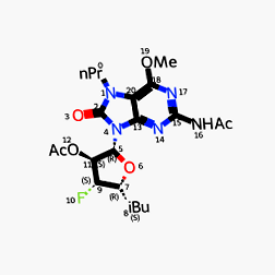 CCCn1c(=O)n([C@@H]2O[C@H]([C@@H](C)CC)[C@H](F)[C@H]2OC(C)=O)c2nc(NC(C)=O)nc(OC)c21